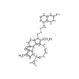 CCOC(=O)c1c(CCCOc2cccc3cc(F)ccc23)c2ccc(Cl)c3c2n1C/C=C\COC(C1CC1)c1nn(C)c(CC)c1-3